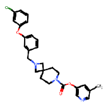 O=C(Oc1cncc(C(F)(F)F)c1)N1CCC2(CC1)CN(Cc1cccc(Oc3cccc(Cl)c3)c1)C2